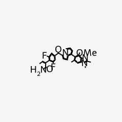 CC=C(C(N)=O)c1c(F)cc(C(=O)c2ccc3c(-c4c(C)cc5c(nc(C)n5C)c4OC)cccn23)cc1F